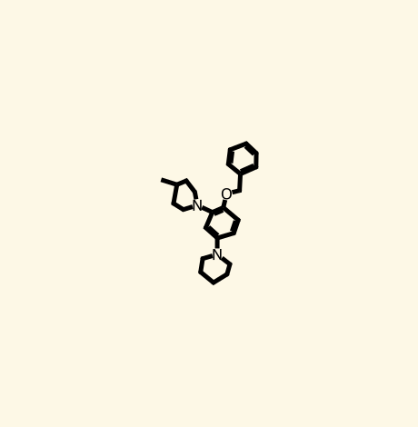 CC1CCN(c2cc(N3CCCCC3)ccc2OCc2ccccc2)CC1